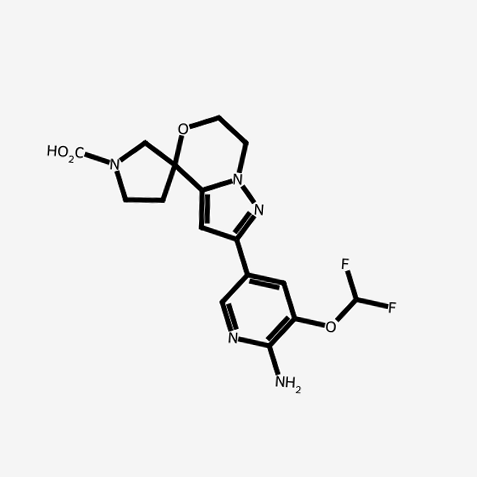 Nc1ncc(-c2cc3n(n2)CCOC32CCN(C(=O)O)C2)cc1OC(F)F